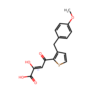 COc1ccc(Cc2ccsc2C(=O)/C=C(\O)C(=O)O)cc1